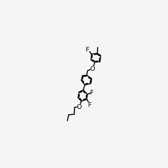 CCCCOc1ccc(-c2ccc(COc3ccc(C)c(F)c3)cc2)c(F)c1F